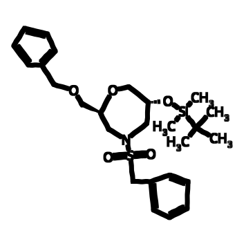 CC(C)(C)[Si](C)(C)O[C@H]1CO[C@H](COCc2ccccc2)CN(S(=O)(=O)Cc2ccccc2)C1